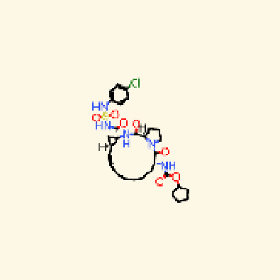 O=C(N[C@H]1CCCCC/C=C\[C@@H]2C[C@@]2(C(=O)NS(=O)(=O)Nc2ccc(Cl)cc2)NC(=O)[C@@H]2CCCN2C1=O)OC1CCCC1